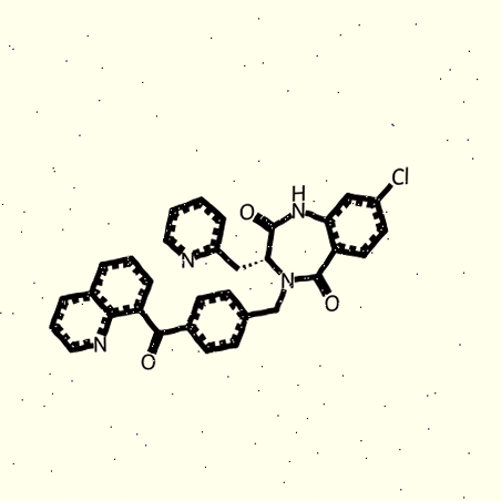 O=C(c1ccc(CN2C(=O)c3ccc(Cl)cc3NC(=O)[C@H]2Cc2ccccn2)cc1)c1cccc2cccnc12